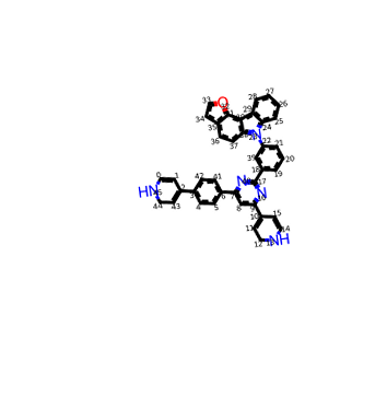 C1=CC(c2ccc(-c3cc(C4=CCNC=C4)nc(-c4cccc(-n5c6ccccc6c6c7occc7ccc65)c4)n3)cc2)=CCN1